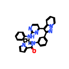 Cn1cccc1C(=O)Nc1cccc(-c2nn3ccccc3c2-c2ccnc(Nc3ccccc3)n2)c1